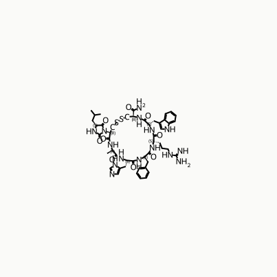 CC(C)C[C@@H]1NC(=O)N([C@H]2CSSC[C@@H](C(N)=O)NC(=O)[C@H](Cc3c[nH]c4ccccc34)NC(=O)[C@H](CCCNC(=N)N)NC(=O)[C@@H](Cc3ccccc3)NC(=O)[C@H](Cc3cnc[nH]3)NC(=O)[C@@H](C)NC2=O)C1=O